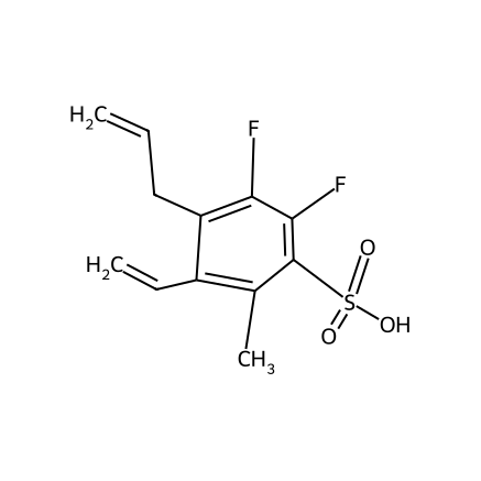 C=CCc1c(F)c(F)c(S(=O)(=O)O)c(C)c1C=C